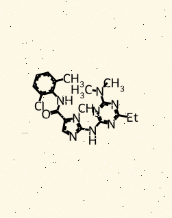 CCc1nc(Nc2ncc(C(=O)Nc3c(C)cccc3Cl)n2C)nc(N(C)C)n1